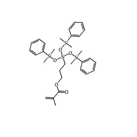 C=C(C)C(=O)OCCC[Si](O[Si](C)(C)c1ccccc1)(O[Si](C)(C)c1ccccc1)O[Si](C)(C)c1ccccc1